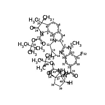 Cn1c(-c2cc3ccc4c(c3n2CC2CC2)N(C(=O)OC(C)(C)C)C(=O)C4(C)C)nc2cc(C(=O)N3C[C@H]4CC[C@@H]3[C@@H]4NC(=O)OC(C)(C)C)cc(F)c21